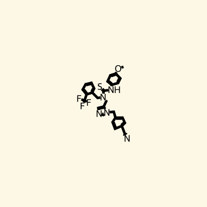 COc1ccc(NC(=S)N(Cc2ccccc2C(F)(F)F)Cc2cncn2Cc2ccc(C#N)cc2)cc1